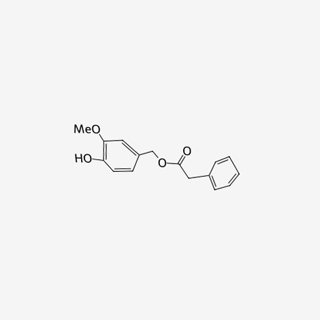 COc1cc(COC(=O)Cc2ccccc2)ccc1O